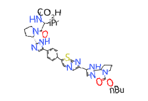 CCCCOC(=O)N1CCCC1c1ncc(-c2cn3cc(-c4ccc(-c5cnc([C@@H]6CCCN6C(=O)[C@@H](NC(=O)O)C(C)C)[nH]5)cc4)sc3n2)[nH]1